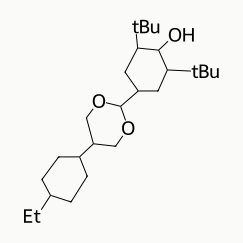 CCC1CCC(C2COC(C3CC(C(C)(C)C)C(O)C(C(C)(C)C)C3)OC2)CC1